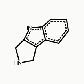 c1ccc2c3c([nH]c2c1)CNC3